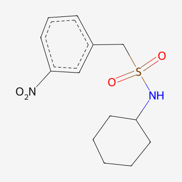 O=[N+]([O-])c1cccc(CS(=O)(=O)NC2CCCCC2)c1